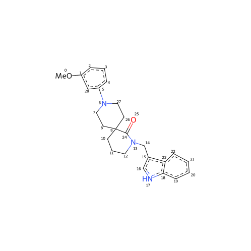 COc1cccc(N2CCC3(CCCN(Cc4c[nH]c5ccccc45)C3=O)CC2)c1